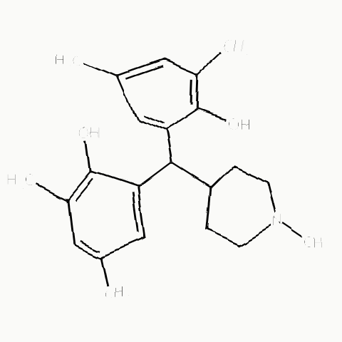 Cc1cc(C)c(O)c(C(c2cc(C)cc(C)c2O)C2CCN(C)CC2)c1